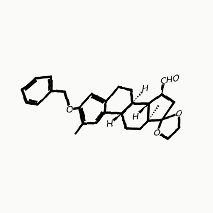 Cc1cc2c(cc1OCc1ccccc1)CC[C@H]1[C@@H]3[C@@H](C=O)CC4(OCCO4)[C@@]3(C)CC[C@H]21